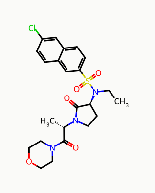 CCN([C@H]1CCN([C@@H](C)C(=O)N2CCOCC2)C1=O)S(=O)(=O)c1ccc2cc(Cl)ccc2c1